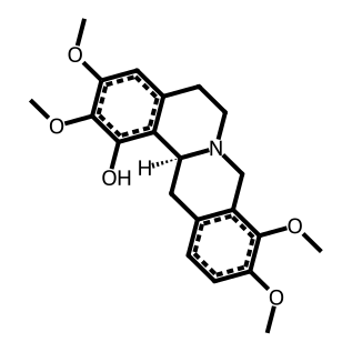 COc1cc2c(c(O)c1OC)[C@@H]1Cc3ccc(OC)c(OC)c3CN1CC2